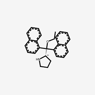 CCOC(c1cccc2ccccc12)(c1cccc2ccccc12)[C@@H]1CCCN1